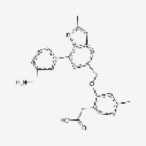 Cc1ccc(CC(=O)O)c(OCc2cc(-c3cccc(CN)c3)c3oc(C)cc3c2)c1